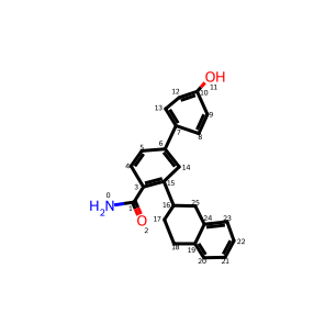 NC(=O)c1ccc(-c2ccc(O)cc2)cc1C1CCc2ccccc2C1